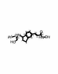 CC(C)C[C@@H](CO)NC1CCc2cc(C=CC(=O)NO)ccc21